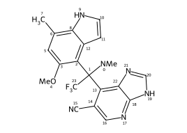 CNC(c1c(OC)cc(C)c2[nH]ccc12)(c1c(C#N)cnc2[nH]cnc12)C(F)(F)F